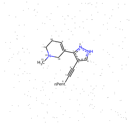 CCCCCC#Cc1c[nH]nc1C1=CCCN(C)C1